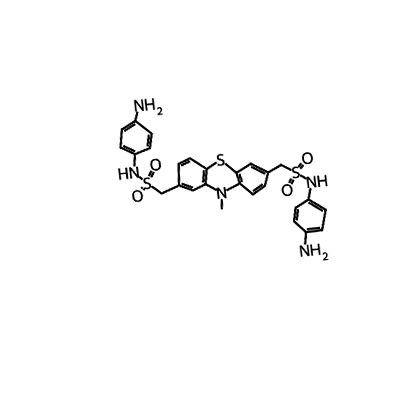 CN1c2ccc(CS(=O)(=O)Nc3ccc(N)cc3)cc2Sc2ccc(CS(=O)(=O)Nc3ccc(N)cc3)cc21